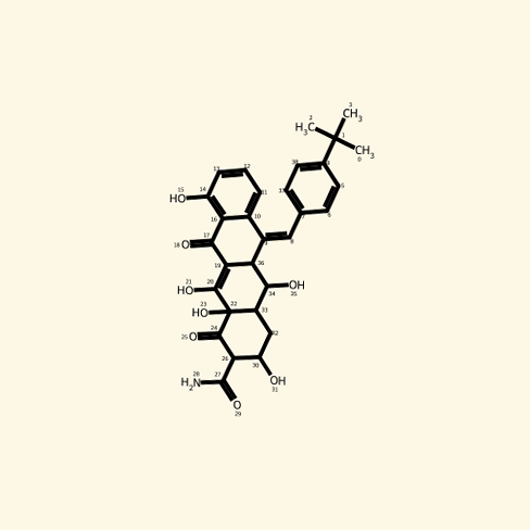 CC(C)(C)c1ccc(/C=C2\c3cccc(O)c3C(=O)C3=C(O)C4(O)C(=O)C(C(N)=O)C(O)CC4C(O)C32)cc1